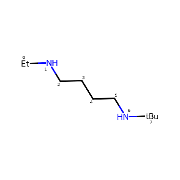 CCNCCCCNC(C)(C)C